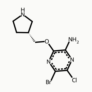 Nc1nc(Cl)c(Br)nc1OC[C@@H]1CCNC1